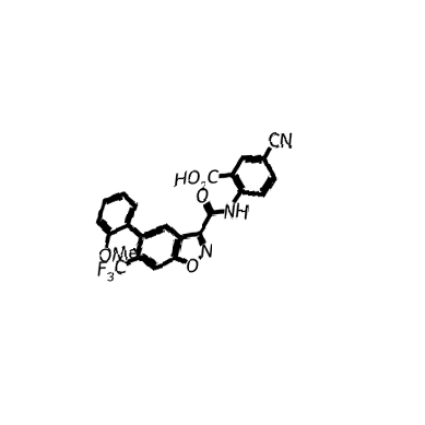 COc1ccccc1-c1cc2c(C(=O)Nc3ccc(C#N)cc3C(=O)O)noc2cc1C(F)(F)F